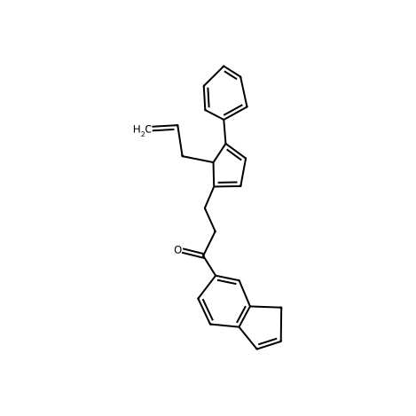 C=CCC1C(CCC(=O)c2ccc3c(c2)CC=C3)=CC=C1c1ccccc1